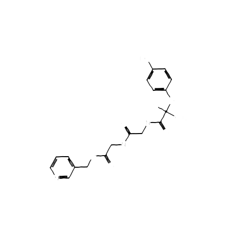 Cc1ccc(OC(C)(C)C(=O)NCC(=O)NCC(=O)OCc2cccnc2)cc1